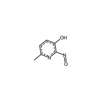 Cc1ccc(O)c(N=O)n1